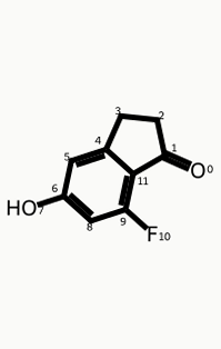 O=C1CCc2cc(O)cc(F)c21